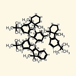 CC(C)(C)c1ccc2c(c1)C1(C)CCCCC1(C)N2c1cc2c3c(c1)-n1c4c(c5cc(C(C)(C)C)cc(c51)B3c1cc(C(C)(C)C)cc3c1N2C1(C)CCCCC31C)C(C)(C)c1ccccc1-4